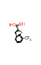 OB(O)c1cc2cccc(C(F)(F)F)c2s1